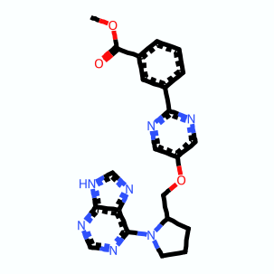 COC(=O)c1cccc(-c2ncc(OCC3CCCN3c3ncnc4[nH]cnc34)cn2)c1